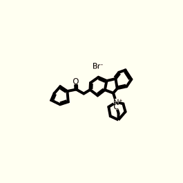 O=C(Cc1ccc2c(c1)C([N+]13CCC(CC1)CC3)c1ccccc1-2)c1ccccc1.[Br-]